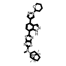 CN(c1nc2sc(-c3ccc(-c4cnn(C5CCCCO5)c4)c4cn[nH]c34)nc2s1)[C@H]1C[C@]2(C)CC[C@](C)(C1)N2